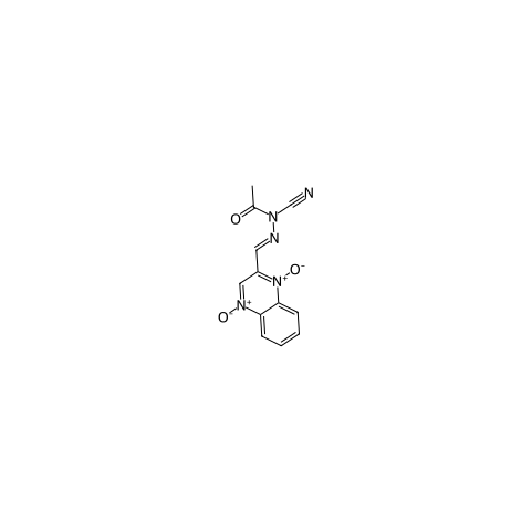 CC(=O)N(C#N)N=Cc1c[n+]([O-])c2ccccc2[n+]1[O-]